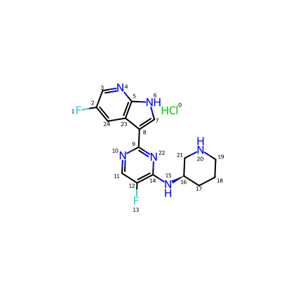 Cl.Fc1cnc2[nH]cc(-c3ncc(F)c(N[C@@H]4CCCNC4)n3)c2c1